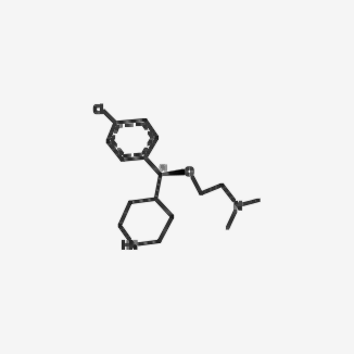 CN(C)CCO[C@H](c1ccc(Cl)cc1)C1CCNCC1